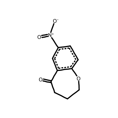 O=C1CCCOc2ccc([N+](=O)[O-])cc21